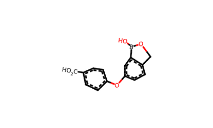 O=C(O)c1ccc(Oc2ccc3c(c2)B(O)OC3)cc1